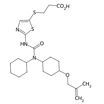 C=C(C)COC1CCC(N(C(=O)Nc2ncc(SCCC(=O)O)s2)C2CCCCC2)CC1